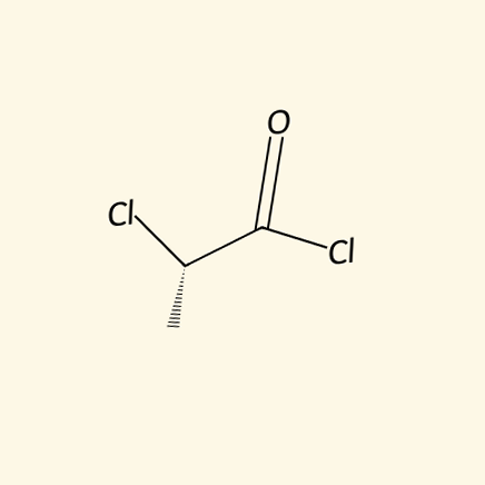 C[C@H](Cl)C(=O)Cl